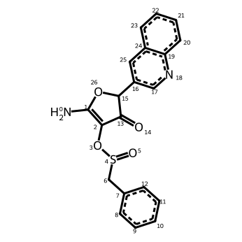 NC1=C(OS(=O)Cc2ccccc2)C(=O)C(c2cnc3ccccc3c2)O1